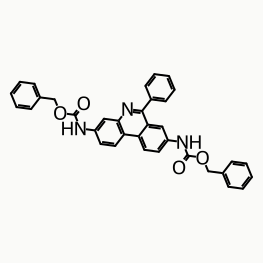 O=C(Nc1ccc2c(c1)nc(-c1ccccc1)c1cc(NC(=O)OCc3ccccc3)ccc12)OCc1ccccc1